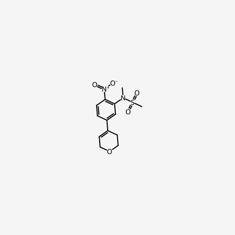 CN(c1cc(C2=CCOCC2)ccc1[N+](=O)[O-])S(C)(=O)=O